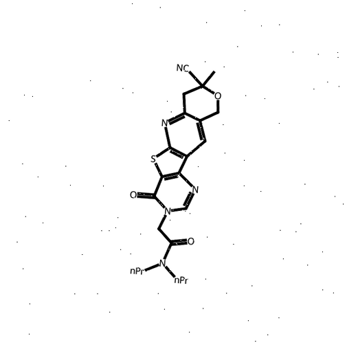 CCCN(CCC)C(=O)Cn1cnc2c(sc3nc4c(cc32)COC(C)(C#N)C4)c1=O